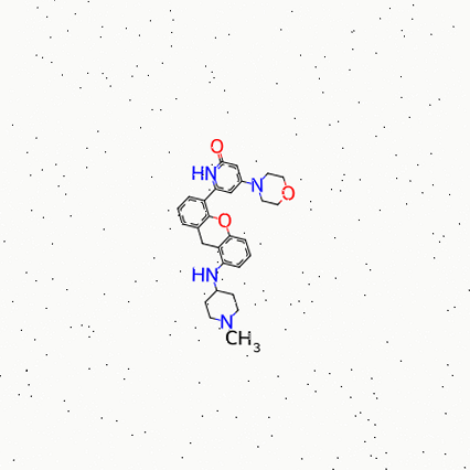 CN1CCC(Nc2cccc3c2Cc2cccc(-c4cc(N5CCOCC5)cc(=O)[nH]4)c2O3)CC1